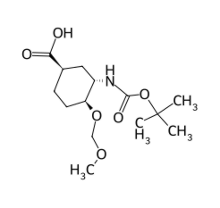 COCO[C@H]1CC[C@@H](C(=O)O)C[C@@H]1NC(=O)OC(C)(C)C